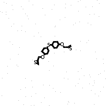 C1CC(SC2CCC(OCC3CS3)CC2)CCC1OCC1CS1